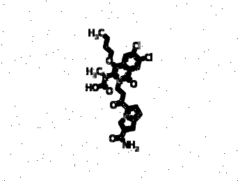 CCCCOc1c(N(C)C(=O)O)n(CCC(=O)c2ccc3n2CC(C(N)=O)=C3)c(=O)c2cc(Cl)c(Cl)cc12